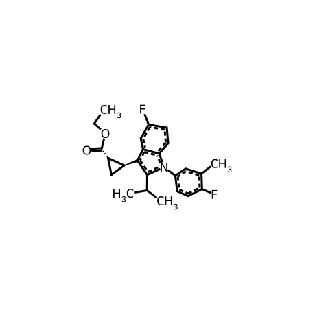 CCOC(=O)[C@H]1C[C@@H]1c1c(C(C)C)n(-c2ccc(F)c(C)c2)c2ccc(F)cc12